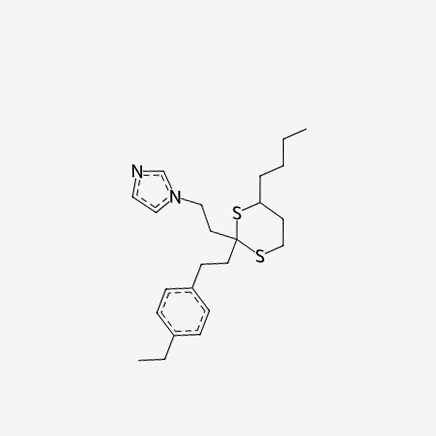 CCCCC1CCSC(CCc2ccc(CC)cc2)(CCn2ccnc2)S1